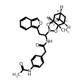 CC(=O)Nc1ccc(CC(=O)NC(Cc2occ3ccccc23)B2O[C@@H]3C[C@@H]4C[C@@H](C4(C)C)[C@]3(C)O2)cc1